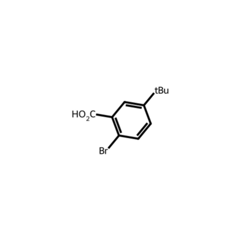 CC(C)(C)c1ccc(Br)c(C(=O)O)c1